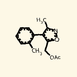 CC(=O)OCc1onc(C)c1-c1ccccc1C